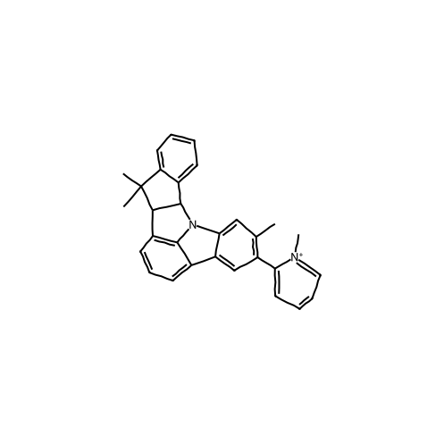 Cc1cc2c(cc1-c1cccc[n+]1C)c1cccc3c1n2C1c2ccccc2C(C)(C)C31